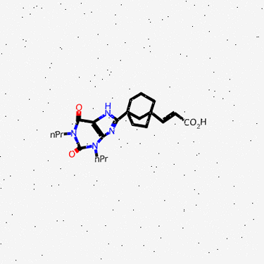 CCCn1c(=O)c2[nH]c(C34CCCC(C=CC(=O)O)(CC3)C4)nc2n(CCC)c1=O